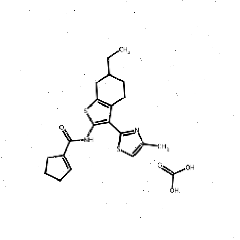 CCC1CCc2c(sc(NC(=O)C3=CCCC3)c2-c2nc(C)cs2)C1.O=C(O)O